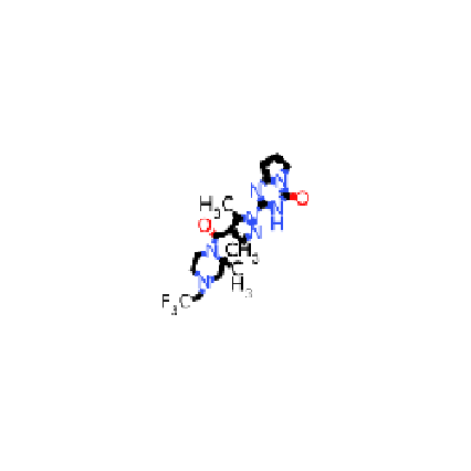 Cc1c(C(=O)N2CCN(CC(F)(F)F)CC2(C)C)cnn1-c1nc2cccn2c(=O)[nH]1